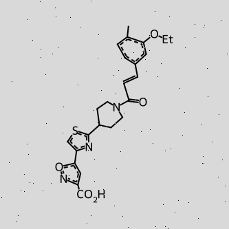 CCOc1cc(/C=C/C(=O)N2CCC(c3nc(-c4cc(C(=O)O)no4)cs3)CC2)ccc1C